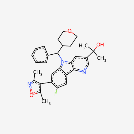 Cc1noc(C)c1-c1cc2c(cc1F)c1ncc(C(C)(C)O)cc1n2C(c1ccccc1)C1CCOCC1